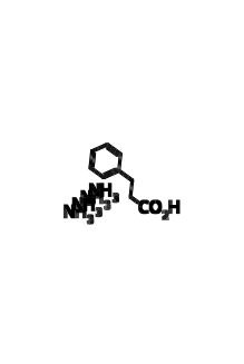 N.N.N.N.O=C(O)CCc1ccccc1